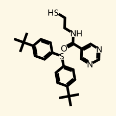 CC(C)(C)c1ccc(Sc2ccc(C(C)(C)C)cc2)cc1.O=C(NCCS)c1cncnc1